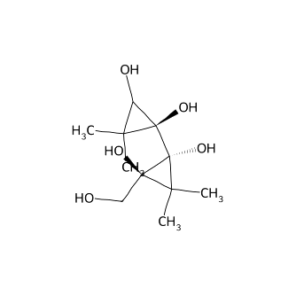 CC1(C)[C@](O)([C@@]2(O)C(O)C2(C)C)[C@@]1(O)CO